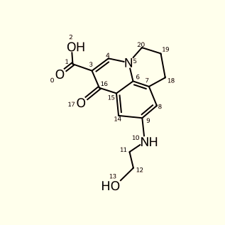 O=C(O)c1cn2c3c(cc(NCCO)cc3c1=O)CCC2